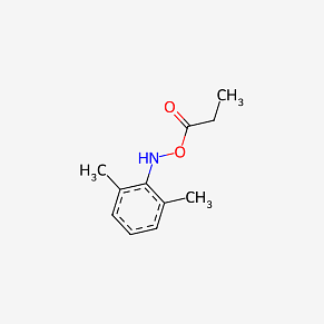 CCC(=O)ONc1c(C)cccc1C